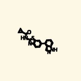 O=C(Nc1nc2ccc(-c3cccc4[nH]ncc34)cc2s1)C1CC1